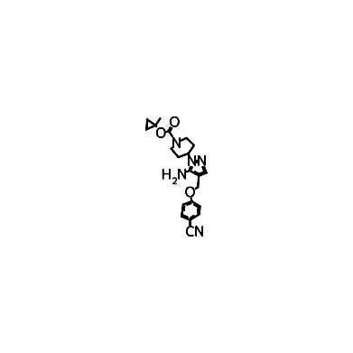 CC1(OC(=O)N2CCC(n3ncc(COc4ccc(C#N)cc4)c3N)CC2)CC1